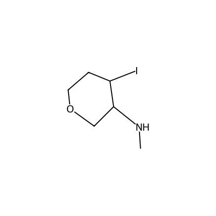 CNC1COCCC1I